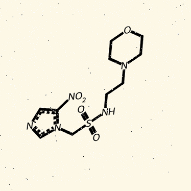 O=[N+]([O-])c1cncn1CS(=O)(=O)NCCN1CCOCC1